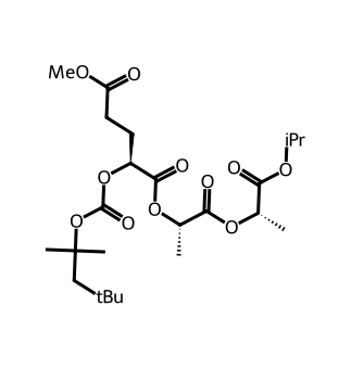 COC(=O)CC[C@H](OC(=O)OC(C)(C)CC(C)(C)C)C(=O)O[C@@H](C)C(=O)O[C@@H](C)C(=O)OC(C)C